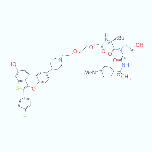 CNc1ccc([C@H](C)NC(=O)[C@@H]2C[C@@H](O)CN2C(=O)[C@@H](NC(=O)COCCOCCN2CCC(c3ccc(Oc4c(-c5ccc(F)cc5)sc5cc(O)ccc45)cc3)CC2)C(C)(C)C)cc1